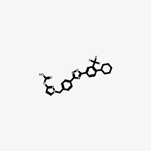 O=C(O)Oc1ccn(Cc2ccc(-c3noc(-c4ccc(C5CCCCC5)c(C(F)(F)F)c4)n3)cc2)n1